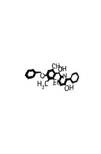 CCc1c(C)c(OCc2ccccc2)cc(C)c1C(O)c1ccc(O)c(C2CCCCC2)n1